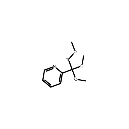 C[O][Ti][C](OC)(OC)c1ccccn1